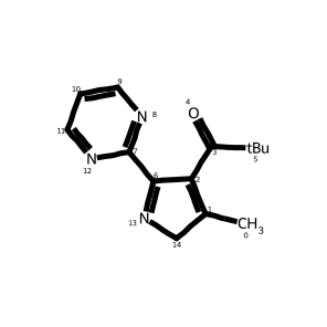 CC1=C(C(=O)C(C)(C)C)C(c2ncccn2)=NC1